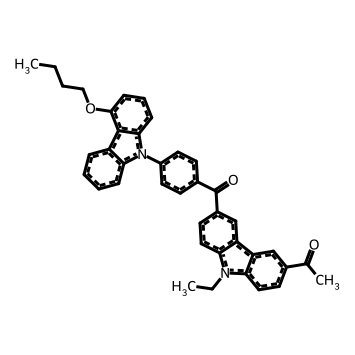 CCCCOc1cccc2c1c1ccccc1n2-c1ccc(C(=O)c2ccc3c(c2)c2cc(C(C)=O)ccc2n3CC)cc1